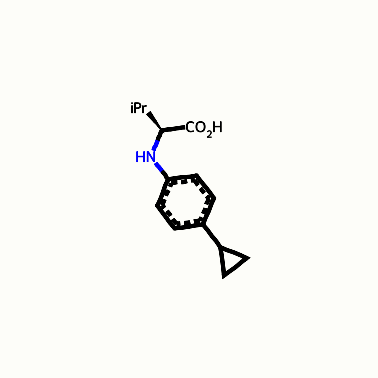 CC(C)[C@H](Nc1ccc(C2CC2)cc1)C(=O)O